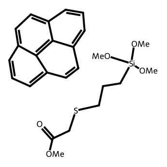 COC(=O)CSCCC[Si](OC)(OC)OC.c1cc2ccc3cccc4ccc(c1)c2c34